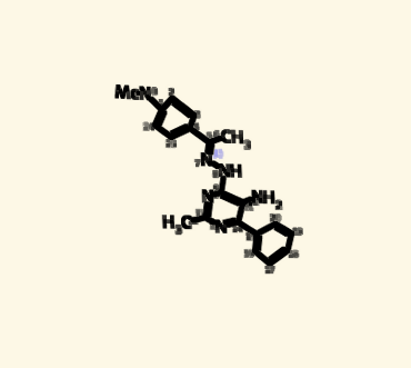 CNc1ccc(/C(C)=N/Nc2nc(C)nc(-c3ccccc3)c2N)cc1